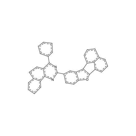 c1ccc(-c2nc(-c3ccc4oc5c(c4c3)-c3cccc4cccc-5c34)nc3c2ccc2ccccc23)cc1